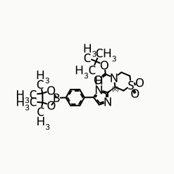 CC(C)(C)OC(=O)N1CCS(=O)(=O)C[C@H]1c1ncc(-c2ccc(B3OC(C)(C)C(C)(C)O3)cc2)[nH]1